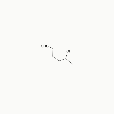 CC(O)C(C)C=CC=O